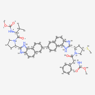 COC(=O)N[C@H](C(=O)N1CCCC1c1nc2ccc3cc(-c4ccc5c(ccc6nc([C@@H]7C[C@H](SC)CN7C(=O)[C@H](NC(=O)OC)c7ccccc7)[nH]c65)c4)ccc3c2[nH]1)C(C)C